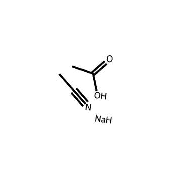 CC#N.CC(=O)O.[NaH]